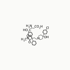 CN(C)C(=O)C(CCN1CCC(O)(c2ccc(Cl)cc2)CC1)(c1ccccc1)c1ccccc1.NC(CC(=O)O)C(=O)O